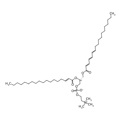 CCCCCCCCCCCC=CC=CC=CC(=O)OC[C@H](COP(=O)([O-])OCC[N+](C)(C)C)OC(=O)C=CCCCCCCCCCCCCCCC